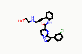 O=C(Nc1ccccc1C#CCNCCO)c1ccn2ncc(-c3cccc(Cl)c3)c2n1